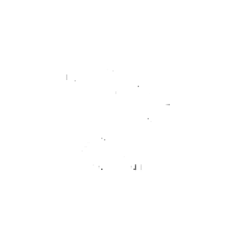 Cc1ccc(C2CC2C(=O)N2CCC(C(N)c3ncccn3)CC2)cc1